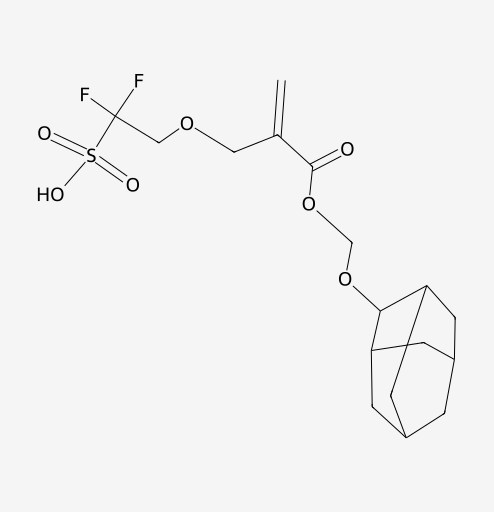 C=C(COCC(F)(F)S(=O)(=O)O)C(=O)OCOC1C2CC3CC(C2)CC1C3